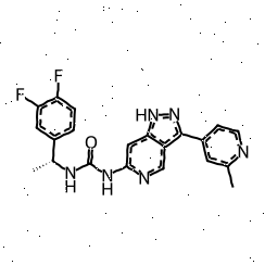 Cc1cc(-c2n[nH]c3cc(NC(=O)N[C@H](C)c4ccc(F)c(F)c4)ncc23)ccn1